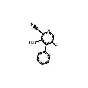 N#Cc1ncc(F)c(-c2ccccc2)c1N